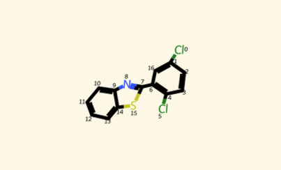 Clc1ccc(Cl)c(-c2nc3ccccc3s2)c1